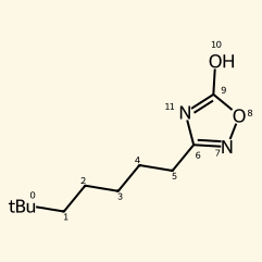 CC(C)(C)CCCCCc1noc(O)n1